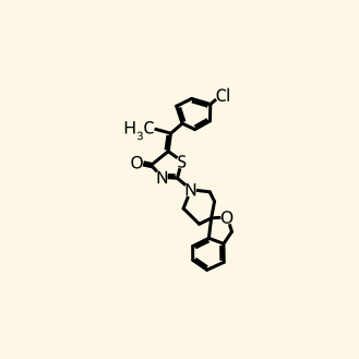 C/C(=C1/SC(N2CCC3(CC2)OCc2ccccc23)=NC1=O)c1ccc(Cl)cc1